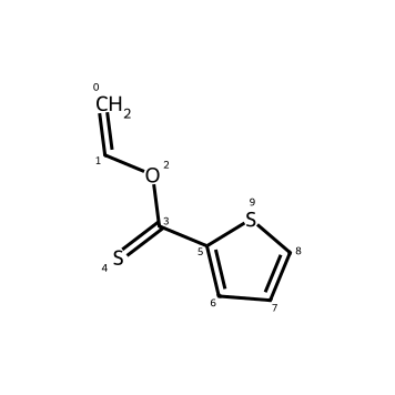 C=COC(=S)c1cccs1